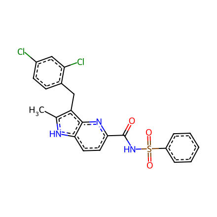 Cc1[nH]c2ccc(C(=O)NS(=O)(=O)c3ccccc3)nc2c1Cc1ccc(Cl)cc1Cl